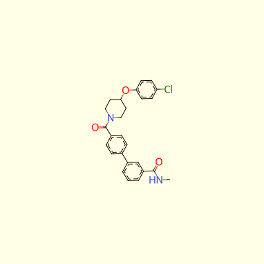 CNC(=O)c1cccc(-c2ccc(C(=O)N3CCC(Oc4ccc(Cl)cc4)CC3)cc2)c1